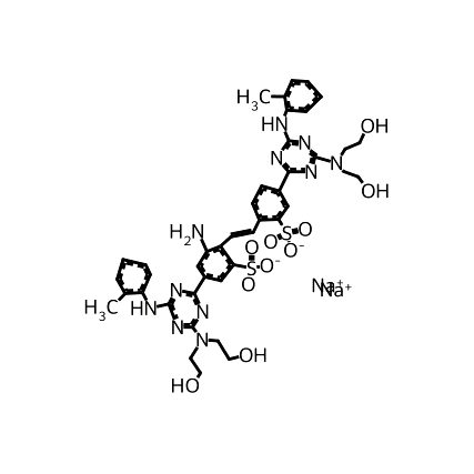 Cc1ccccc1Nc1nc(-c2ccc(C=Cc3c(N)cc(-c4nc(Nc5ccccc5C)nc(N(CCO)CCO)n4)cc3S(=O)(=O)[O-])c(S(=O)(=O)[O-])c2)nc(N(CCO)CCO)n1.[Na+].[Na+]